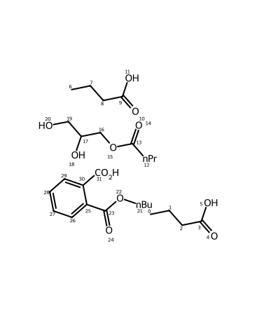 CCCC(=O)O.CCCC(=O)O.CCCC(=O)OCC(O)CO.CCCCOC(=O)c1ccccc1C(=O)O